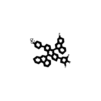 Fc1ccc2c(c1)cc(-c1c3ccc(-c4ccc(OC(F)(F)F)cc4)cc3c(-c3cc4ccccc4c4ccccc34)c3ccc(-c4cc(F)c(F)c(F)c4)cc13)c1ccccc12